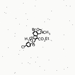 CCOC(=O)c1c(CS(=O)(=O)c2ccc(Cl)cc2)n(C)c2cc(Br)c3c(c12)CN(C)CO3